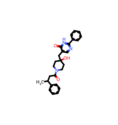 CC(CC(=O)N1CCC(O)(Cc2cnc(-c3ccccc3)[nH]c2=O)CC1)c1ccccc1